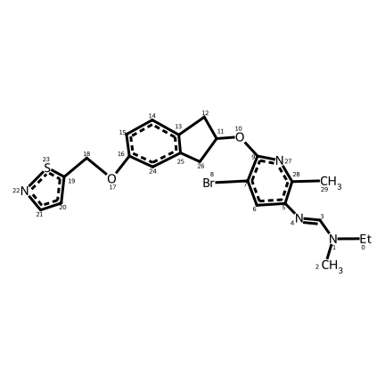 CCN(C)/C=N/c1cc(Br)c(OC2Cc3ccc(OCc4ccns4)cc3C2)nc1C